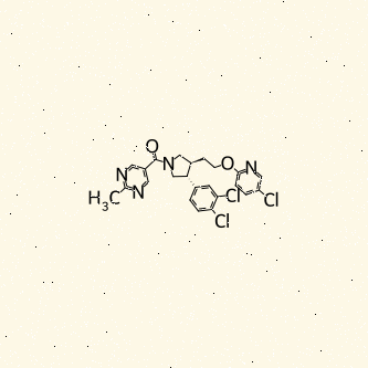 Cc1ncc(C(=O)N2C[C@@H](CCOc3ccc(Cl)cn3)[C@H](c3ccc(Cl)c(Cl)c3)C2)cn1